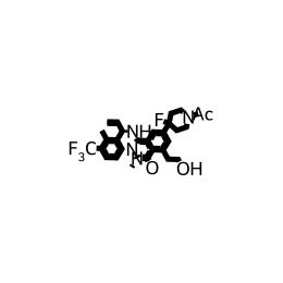 C=C[C@@H](Nc1nn(C)c(=O)c2c(CCO)cc(C3(F)CCN(C(C)=O)CC3)cc12)c1cccc(C(F)(F)F)c1C